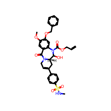 C=CCOC(=O)N1c2cc(OCc3ccccc3)c(OC)cc2C(=O)N2CC=C(c3ccc(S(=O)(=O)NC)cc3)C[C@H]2C1O